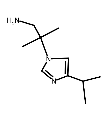 CC(C)c1cn(C(C)(C)CN)cn1